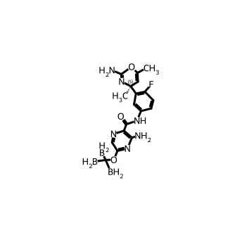 BC(B)(B)Oc1cnc(C(=O)Nc2ccc(F)c([C@]3(C)C=C(C)OC(N)=N3)c2)c(N)n1